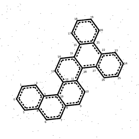 c1ccc2c(c1)ccc1ccc3c(ccc4c5ccccc5c5ccccc5c43)c12